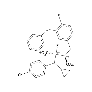 CC(=O)O[C@H](Cc1ccc(F)c(Oc2ccccc2)c1)[C@@](F)(C(=O)O)C(c1ccc(Cl)cc1)C1CC1